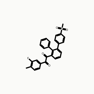 Cc1ccc(C(=O)C(=O)c2cccc(-c3ccc(S(C)(=O)=O)cc3)c2-c2ccccc2)cc1F